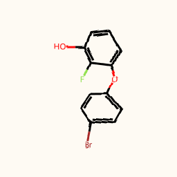 Oc1cccc(Oc2ccc(Br)cc2)c1F